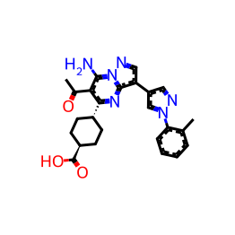 CC(=O)c1c(N)n2ncc(-c3cnn(-c4ccccc4C)c3)c2nc1[C@H]1CC[C@H](C(=O)O)CC1